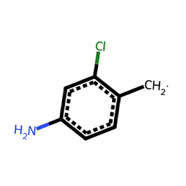 [CH2]c1ccc(N)cc1Cl